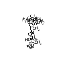 C=C1/C(=C\C=C2/CCC[C@]3(C)[C@@H]([C@H](C)[C@@H](O)CCC4(C5(CCCC)OCCO5)CC4)CC[C@@H]23)C[C@@H](O[Si](C)(C)C(C)(C)C)C[C@@H]1O[Si](C)(C)C(C)(C)C